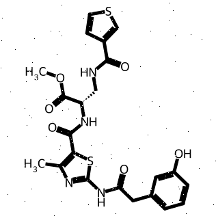 COC(=O)[C@H](CNC(=O)c1ccsc1)NC(=O)c1sc(NC(=O)Cc2cccc(O)c2)nc1C